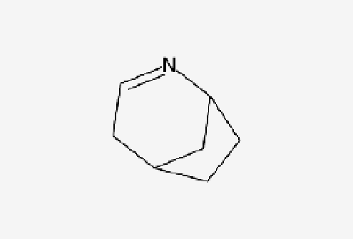 C1=NC2CCC(C1)C2